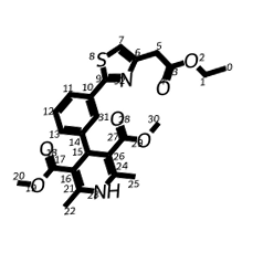 CCOC(=O)Cc1csc(-c2cccc(C3C(C(=O)OC)=C(C)NC(C)=C3C(=O)OC)c2)n1